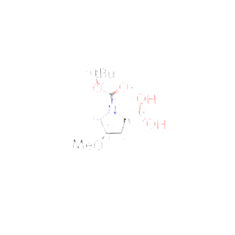 CO[C@@H]1C[C@@H](C(O)O)N(C(=O)OC(C)(C)C)C1